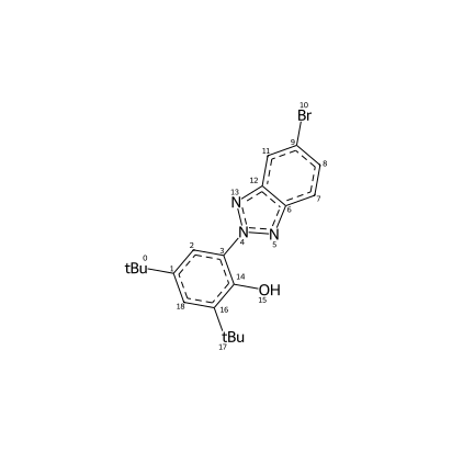 CC(C)(C)c1cc(-n2nc3ccc(Br)cc3n2)c(O)c(C(C)(C)C)c1